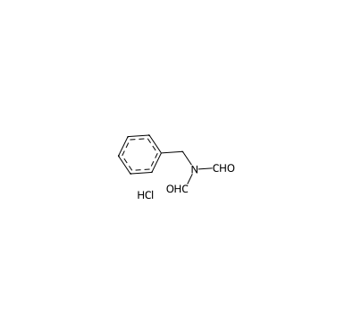 Cl.O=CN(C=O)Cc1ccccc1